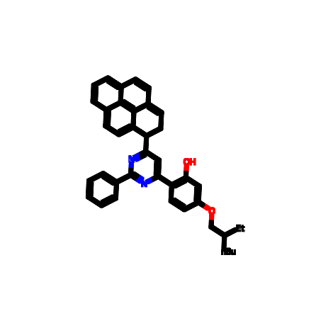 CCCCC(CC)COc1ccc(-c2cc(C3CC=c4ccc5cccc6ccc3c4c65)nc(-c3ccccc3)n2)c(O)c1